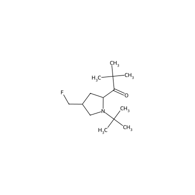 CC(C)(C)C(=O)C1CC(CF)CN1C(C)(C)C